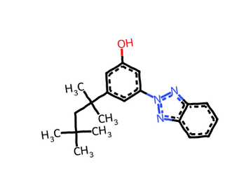 CC(C)(C)CC(C)(C)c1cc(O)cc(-n2nc3ccccc3n2)c1